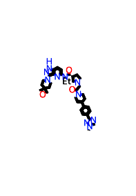 CCN(C(=O)[C@@H]1CCN(CC(=O)N2CC=C(c3ccc(-c4ncn(C)n4)cc3)CC2)C1)c1ccc2[nH]nc(N3CCC4(CC3)COC4)c2n1